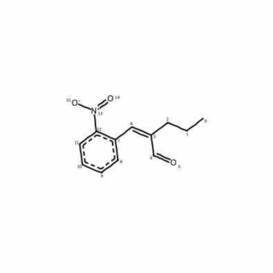 CCCC(C=O)=Cc1ccccc1[N+](=O)[O-]